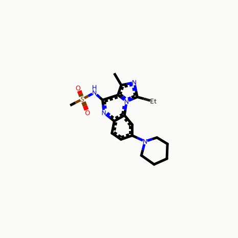 CCc1nc(C)c2c(NS(C)(=O)=O)nc3ccc(N4CCCCC4)cc3n12